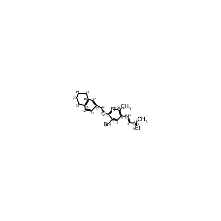 CCN(C)/C=N/c1cc(Br)c(OCc2ccc3c(c2)CCCC3)nc1C